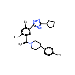 C=C(c1cc(-c2nnc(C3CCCC3)[nH]2)c(CC)cc1C)N1CCC(c2ccc(C#N)cc2)CC1